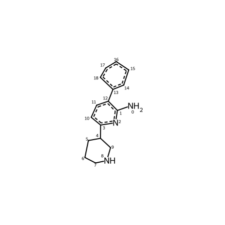 Nc1nc(C2CCCNC2)ccc1-c1ccccc1